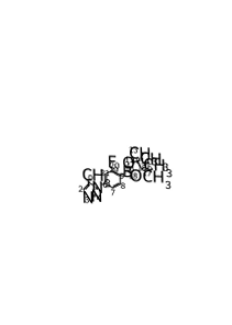 Cc1cnnn1-c1ccc(B2OC(C)(C)C(C)(C)O2)c(F)c1